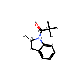 C[C@H]1Cc2ccccc2N1C(=O)C(C)(C)C